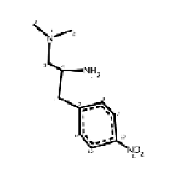 CN(C)C[C@@H](N)Cc1ccc([N+](=O)[O-])cc1